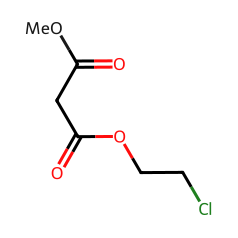 COC(=O)CC(=O)OCCCl